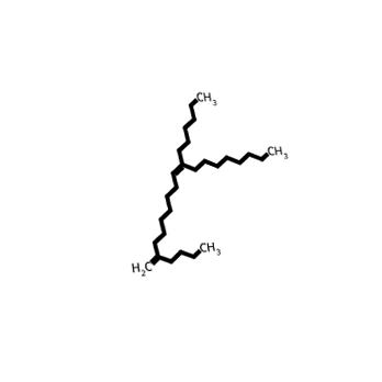 C=C(CCCC)CCCCCCC=C(CCCCCC)CCCCCCCC